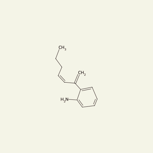 C=C(/C=C\CCC)c1ccccc1N